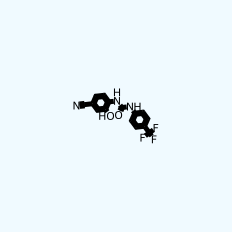 N#Cc1ccc(NC(=O)Nc2ccc(C(F)(F)F)cc2)c(O)c1